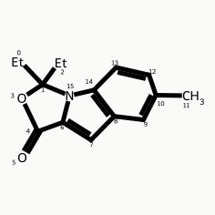 CCC1(CC)OC(=O)c2cc3cc(C)ccc3n21